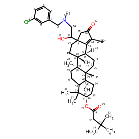 CCN(Cc1cccc(Cl)c1)CC(O)C12CC[C@]3(C)[C@H](CC[C@@H]4[C@@]5(C)CC[C@H](OC(=O)CC(C)(C)C(=O)O)C(C)(C)C5CC[C@]43C)C1=C(C(C)C)C(=O)C2